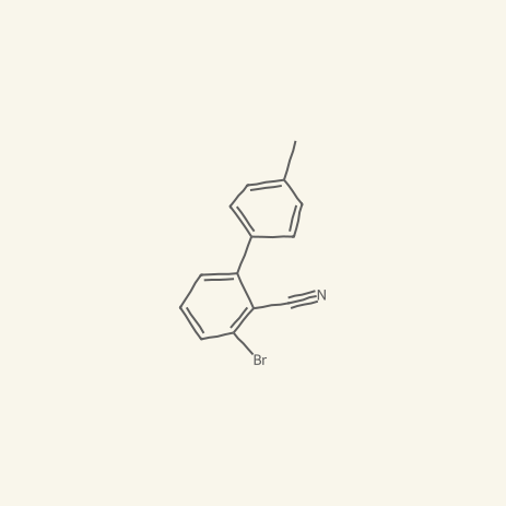 Cc1ccc(-c2cccc(Br)c2C#N)cc1